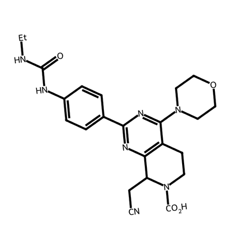 CCNC(=O)Nc1ccc(-c2nc3c(c(N4CCOCC4)n2)CCN(C(=O)O)C3CC#N)cc1